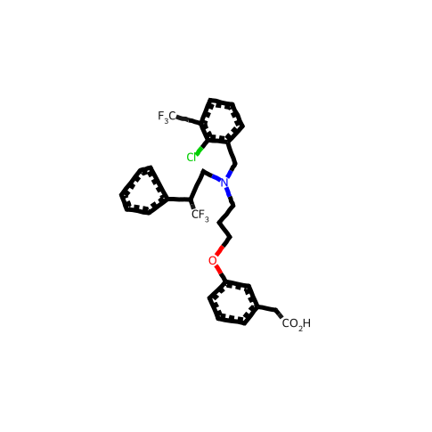 O=C(O)Cc1cccc(OCCCN(Cc2cccc(C(F)(F)F)c2Cl)CC(c2ccccc2)C(F)(F)F)c1